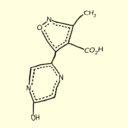 Cc1noc(-c2cnc(O)cn2)c1C(=O)O